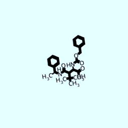 C[C@H](NC(=O)C([C@@H](NC(=O)OCc1ccccc1)C(=O)O)C(C)(C)C)c1ccccc1